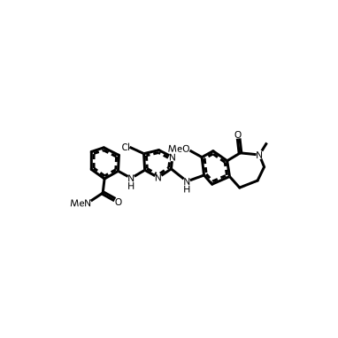 CNC(=O)c1ccccc1Nc1nc(Nc2cc3c(cc2OC)C(=O)N(C)CCC3)ncc1Cl